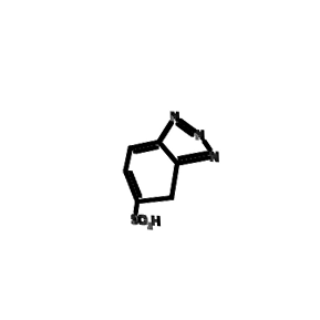 O=S(=O)(O)C1=CC=C2N=NN=C2C1